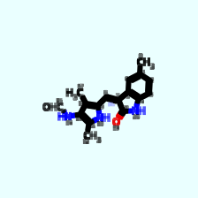 Cc1ccc2c(c1)/C(=C/c1[nH]c(C)c(NC=O)c1C)C(=O)N2